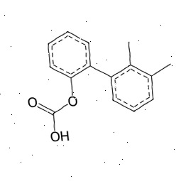 Cc1cccc(-c2ccccc2OC(=O)O)c1C